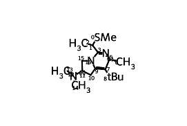 CSC(C)C1=N[C@@H](C)C(C(C)(C)C)=C2C[C@@H](N(C)C)CN12